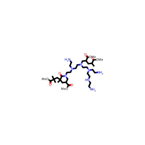 COC(=O)C(C)CC(CN(CCN(CCN)CCNCCN)CCN(CCN)CCN1CC(C(=O)OC)CC(C)(CC(C)(C)C(=O)OC)C1=O)C(=O)OC